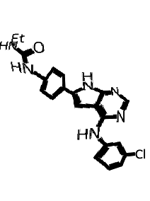 CCNC(=O)Nc1ccc(-c2cc3c(Nc4cccc(Cl)c4)ncnc3[nH]2)cc1